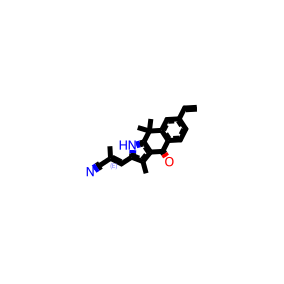 C=Cc1ccc2c(c1)C(C)(C)c1[nH]c(/C=C(\C)C#N)c(C)c1C2=O